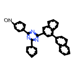 O=Nc1ccc(-c2nc(-c3ccccc3)nc(-c3cc(-c4ccc5ccccc5c4)c4ccccc4c3)n2)cc1